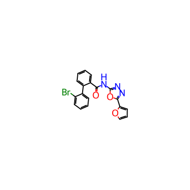 O=C(Nc1nnc(-c2ccco2)o1)c1ccccc1-c1ccccc1Br